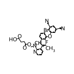 CC=C(Cc1ccc(Br)c(Oc2cc(C#N)cc(C#N)c2)c1F)c1cccnc1N(C)COC(=O)CCC(=O)O